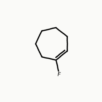 FC1=CCCCCC1